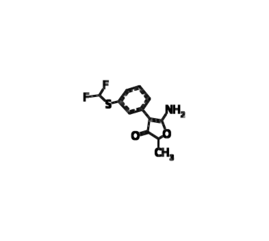 CC1OC(N)=C(c2cccc(SC(F)F)c2)C1=O